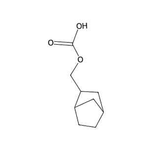 O=C(O)OCC1CC2CCC1C2